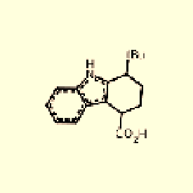 CC(C)(C)C1CCC(C(=O)O)c2c1[nH]c1ccccc21